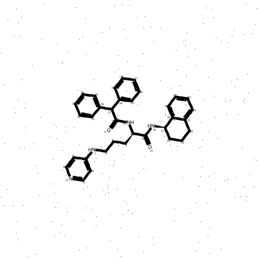 O=C(N[C@H](CCCNc1ccncc1)C(=O)N[C@@H]1CCCc2ccccc21)C(c1ccccc1)c1ccccc1